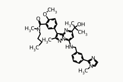 CCCCN(C)C(=O)c1cc(-c2c(C)nn3c(NCc4cccc(-c5nccn5C)c4)cc(C(C)(C)O)nc23)ccc1OC